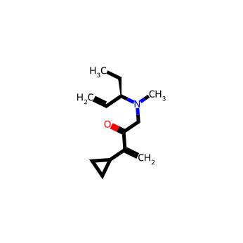 C=C[C@@H](CC)N(C)CC(=O)C(=C)C1CC1